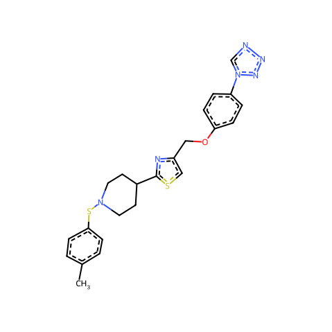 Cc1ccc(SN2CCC(c3nc(COc4ccc(-n5cnnn5)cc4)cs3)CC2)cc1